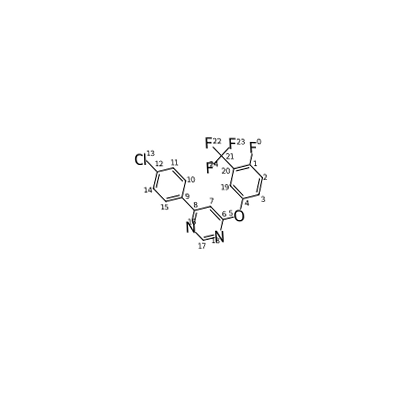 Fc1ccc(Oc2cc(-c3ccc(Cl)cc3)ncn2)cc1C(F)(F)F